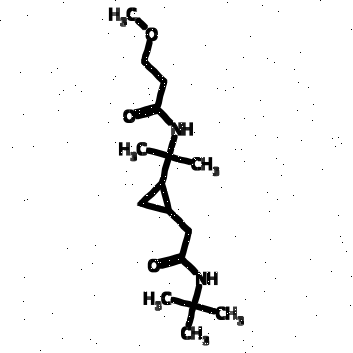 COCCC(=O)NC(C)(C)C1CC1CC(=O)NC(C)(C)C